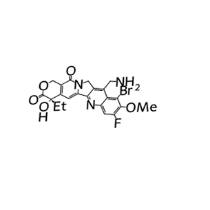 CC[C@@]1(O)C(=O)OCc2c1cc1n(c2=O)Cc2c-1nc1cc(F)c(OC)c(Br)c1c2CN